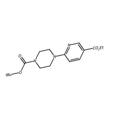 CCOC(=O)c1ccc(N2CCN(C(=O)OC(C)(C)C)CC2)nc1